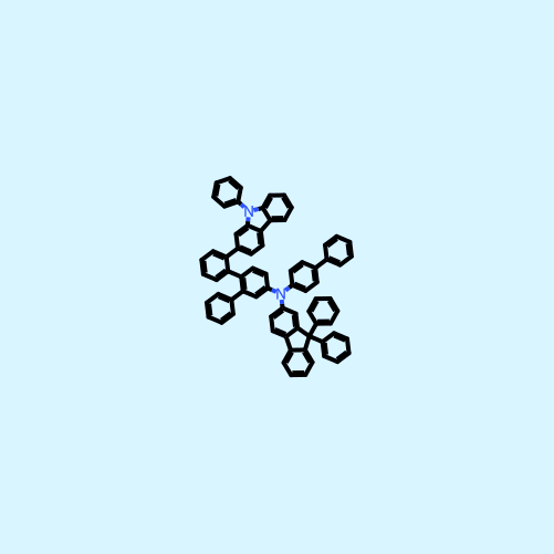 c1ccc(-c2ccc(N(c3ccc(-c4ccccc4-c4ccc5c6ccccc6n(-c6ccccc6)c5c4)c(-c4ccccc4)c3)c3ccc4c(c3)C(c3ccccc3)(c3ccccc3)c3ccccc3-4)cc2)cc1